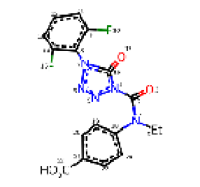 CCN(C(=O)n1nnn(-c2c(F)cccc2F)c1=O)c1ccc(C(=O)O)cc1